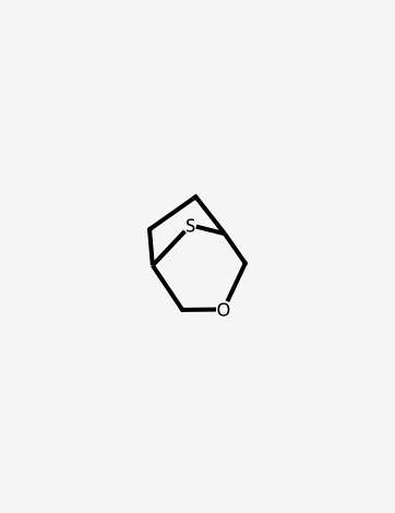 C1CC2COCC1S2